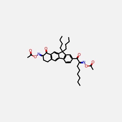 CCCCCC/C(=N\OC(C)=O)C(=O)c1ccc2c(c1)C(CCCC)(CCCC)c1cc3c(cc1-2)CC/C(=N\OC(C)=O)C3=O